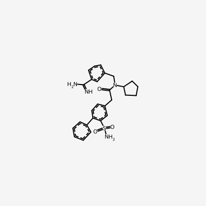 N=C(N)c1cccc(CN(C(=O)Cc2ccc(-c3ccccc3)c(S(N)(=O)=O)c2)C2CCCC2)c1